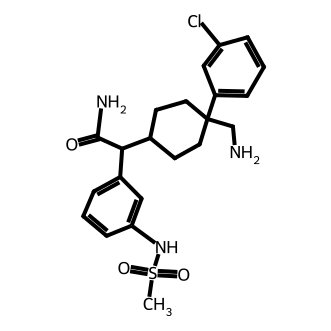 CS(=O)(=O)Nc1cccc(C(C(N)=O)C2CCC(CN)(c3cccc(Cl)c3)CC2)c1